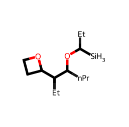 CCCC(OC([SiH3])CC)C(CC)C1CCO1